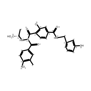 Cc1cc(C(=O)N(N[C@@H](C)C(=O)O)C(=O)c2ccc(C(=O)NCc3cccc(O)c3)cc2Cl)ccc1[N+](=O)[O-]